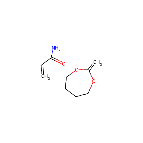 C=C1OCCCCO1.C=CC(N)=O